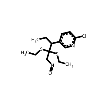 CCSC(CN=O)(SCC)C(CC)c1ccc(Cl)nc1